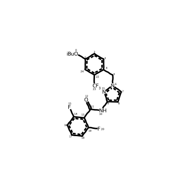 CC(C)COc1ccc(Cn2ccc(NC(=O)c3c(F)cccc3F)n2)c(C(F)(F)F)c1